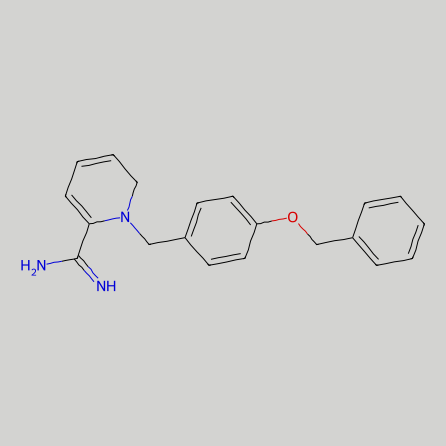 N=C(N)C1=CC=CCN1Cc1ccc(OCc2ccccc2)cc1